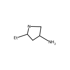 CCC1CC(N)C[N]1